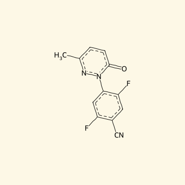 Cc1ccc(=O)n(-c2cc(F)c(C#N)cc2F)n1